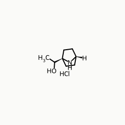 CC(O)[C@]12CC[C@H](CC1)N2.Cl